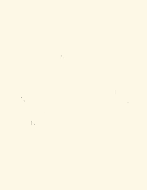 FC(F)(F)c1cccc(C#Cc2c(CSc3ccccn3)nc3ccccn23)c1